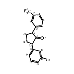 O=C1C(c2cccc(C(F)(F)F)c2)CSC1c1cccc(I)c1